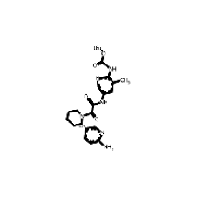 Cc1cc(NC(=O)C(=O)N2CCCC[C@H]2c2ccc(N)nc2)cnc1NC(=O)OC(C)(C)C